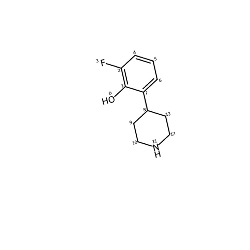 Oc1c(F)cccc1C1CCNCC1